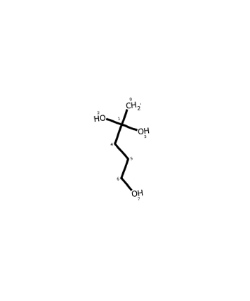 [CH2]C(O)(O)CCCO